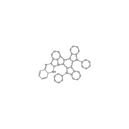 C1=CC2=Nc3c(n4c5c3cccc5c3c5c6ccccc6n(-c6ccccc6)c5c5c6ccccc6n(-c6ccccc6)c5c34)NC2C=C1